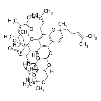 COC(=O)/C(C)=C\CC1(O)C(=O)C2CC(C(C)C)C13Oc1c(CC=C(C)C)c4c(c(O[C@H]5O[C@H]6COC(C)(C)O[C@@H]6[C@@H](O)[C@@H]5O)c1C(=O)C3C2n1cnc(N)n1)C=CC(C)(CCC=C(C)C)O4